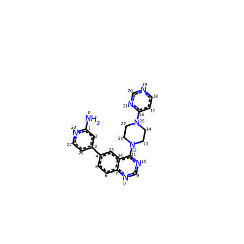 Nc1cc(-c2ccc3ncnc(N4CCN(c5ccncn5)CC4)c3c2)ccn1